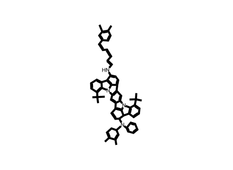 CC1=CCC(N(c2ccccc2)C2C=Cc3c4n(c5cc6c7ccc(N/C=C/C=C\C=C/c8ccc(C)c(C)c8)c8c9cccc(C(C)(C)C)c9n(c6cc35)c78)-c3c(cccc3C(C)(C)C)C42)C=C1C